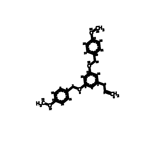 C=CCc1cc(OCc2ccc(OC)cc2)cc(OCc2ccc(OC)cc2)c1